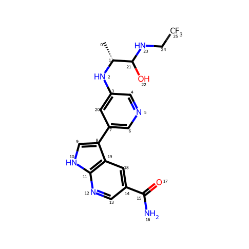 C[C@@H](Nc1cncc(-c2c[nH]c3ncc(C(N)=O)cc23)c1)C(O)NCC(F)(F)F